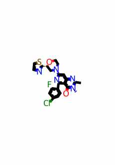 Cc1nc2cc(N3CCO[C@@H](c4nccs4)C3)nc(-c3ccc(Cl)cc3F)c2c(=O)n1C